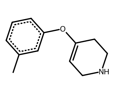 Cc1cccc(OC2=CCNCC2)c1